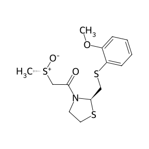 COc1ccccc1SC[C@H]1SCCN1C(=O)C[S@+](C)[O-]